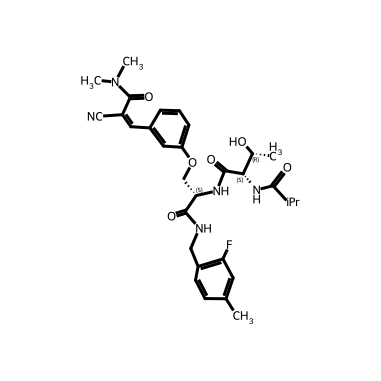 Cc1ccc(CNC(=O)[C@H](COc2cccc(C=C(C#N)C(=O)N(C)C)c2)NC(=O)[C@@H](NC(=O)C(C)C)[C@@H](C)O)c(F)c1